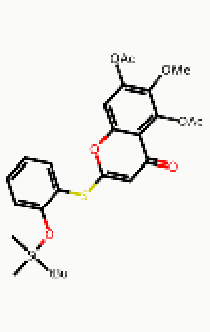 COc1c(OC(C)=O)cc2oc(Sc3ccccc3O[Si](C)(C)C(C)(C)C)cc(=O)c2c1OC(C)=O